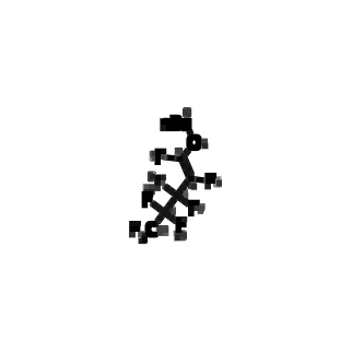 CCCCOC(F)=C(F)C(F)(F)C(F)(F)C(F)(F)F